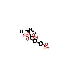 CC(C)(C)OCC(Cc1ccc(-c2ccc(C(=O)O)cc2)cc1)(C(=O)O)C(=O)O